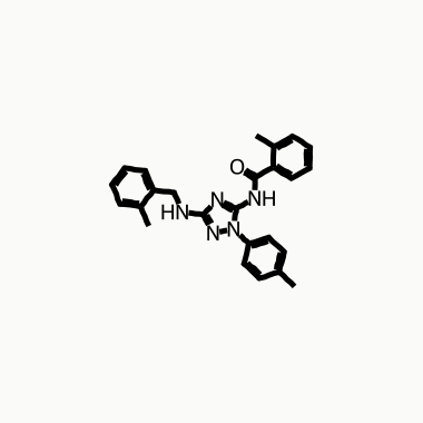 Cc1ccc(-n2nc(NCc3ccccc3C)nc2NC(=O)c2ccccc2C)cc1